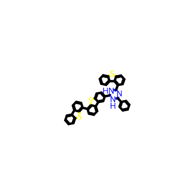 c1ccc(C2N=C(c3cccc4sc5ccccc5c34)NC(c3ccc4sc5c(-c6cccc7c6sc6ccccc67)cccc5c4c3)N2)cc1